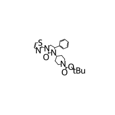 CC(C)(C)OC(=O)N1CCC(N2C(=O)N(c3nccs3)CC2c2ccccc2)CC1